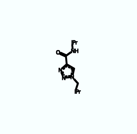 CC(C)Cn1cc(C(=O)NC(C)C)nn1